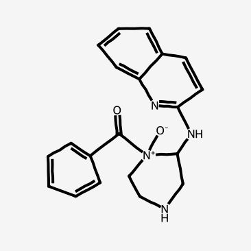 O=C(c1ccccc1)[N+]1([O-])CCNCC1Nc1ccc2ccccc2n1